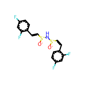 [O-][S+](/C=C\c1ccc(F)cc1F)N[S+]([O-])/C=C/c1ccc(F)cc1F